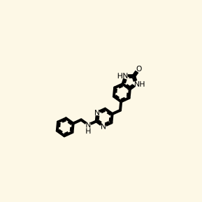 O=c1[nH]c2ccc(Cc3cnc(NCc4ccccc4)nc3)cc2[nH]1